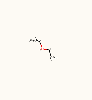 [CH2]OCOCOC